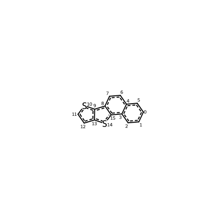 c1ccc2c(c1)ccc1c3sccc3sc21